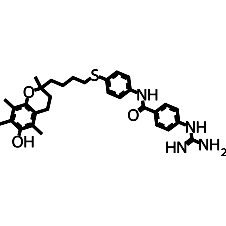 Cc1c(C)c2c(c(C)c1O)CCC(C)(CCCCSc1ccc(NC(=O)c3ccc(NC(=N)N)cc3)cc1)O2